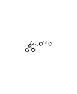 O=C(Nc1ccc(CCNc2ncnc3oc(-c4ccccc4)c(-c4ccccc4)c23)cc1)NC1CCCC1